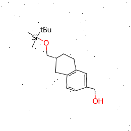 CC(C)(C)[Si](C)(C)OCC1CCc2cc(CO)ccc2C1